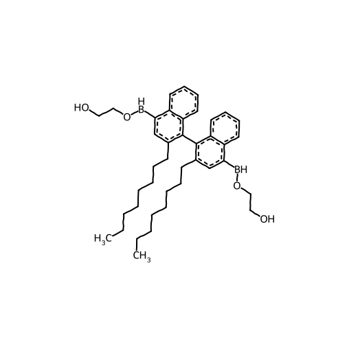 CCCCCCCCc1cc(BOCCO)c2ccccc2c1-c1c(CCCCCCCC)cc(BOCCO)c2ccccc12